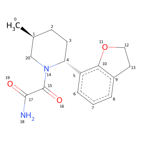 C[C@H]1CC[C@H](c2cccc3c2OCC3)N(C(=O)C(N)=O)C1